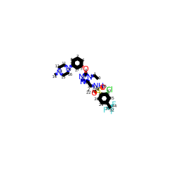 CCn1c(Oc2cccc(N3CCN(C)CC3)c2)nnc1[C@@H](C)NS(=O)(=O)c1ccc(C(F)(F)F)cc1Cl